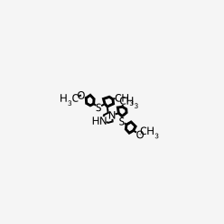 COc1ccc(Sc2ccc(C)cc2C2CNCCN2c2cc(C)ccc2Sc2ccc(OC)cc2)cc1